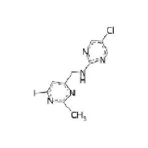 Cc1nc(I)cc(CNc2ncc(Cl)cn2)n1